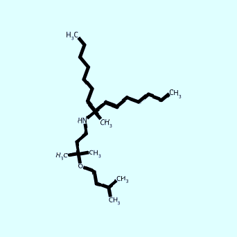 CCCCCCCC(C)(CCCCCCC)NCCC(C)(C)OCCC(C)C